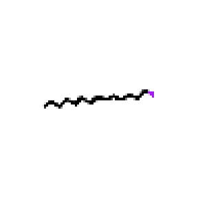 CCCCC=CC=CCCCCCCI